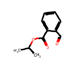 CC(C)OC(=O)c1ccccc1C=O